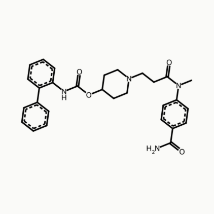 CN(C(=O)CCN1CCC(OC(=O)Nc2ccccc2-c2ccccc2)CC1)c1ccc(C(N)=O)cc1